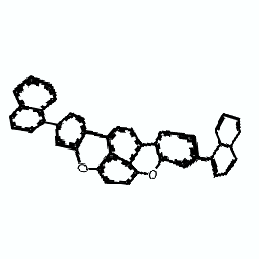 C1=CC2C=CC=C(c3ccc4c(c3)Oc3ccc5c6c(ccc-4c36)-c3ccc(-c4cccc6ccccc46)cc3O5)C2C=C1